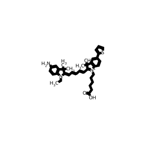 CCN1/C(=C/C=C/C=C/C2=[N+](CCCCCC(=O)O)c3ccc(-c4cccs4)cc3C2(C)C)C(C)(C)c2cc(N)ccc21